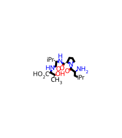 CC(C)C[C@H](N)C(=O)N1CCC[C@H]1C(=O)N[C@H](C(=O)N[C@H](C(=O)O)[C@@H](C)O)C(C)C